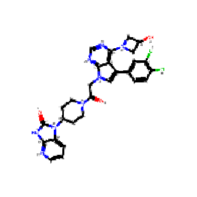 O=C(Cn1cc(-c2ccc(Cl)c(Cl)c2)c2c(N3CC(O)C3)ncnc21)N1CCC(n2c(=O)[nH]c3ncccc32)CC1